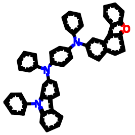 c1ccc(N(c2ccc(N(c3ccccc3)c3ccc4c5ccccc5n(-c5ccccc5)c4c3)cc2)c2ccc3ccc4oc5ccccc5c4c3c2)cc1